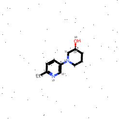 CCc1ccc(N2CCC[C@H](O)C2)cn1